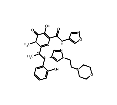 C[C@@H](c1nc(C(=O)Nc2cnoc2)c(O)c(=O)n1C)[C@H](c1cnn(CCN2CCOCC2)c1)c1ccccc1C#N